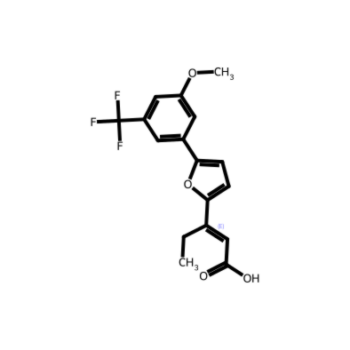 CC/C(=C\C(=O)O)c1ccc(-c2cc(OC)cc(C(F)(F)F)c2)o1